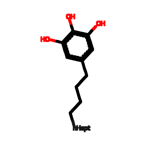 CCCCCCCCCCCc1cc(O)c(O)c(O)c1